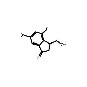 O=C1CC(CO)c2c(F)cc(Br)cc21